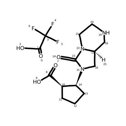 O=C(O)C(F)(F)F.O=C(O)[C@@H]1CCC[C@@H]1N1C[C@@H]2CNCCN2C1=O